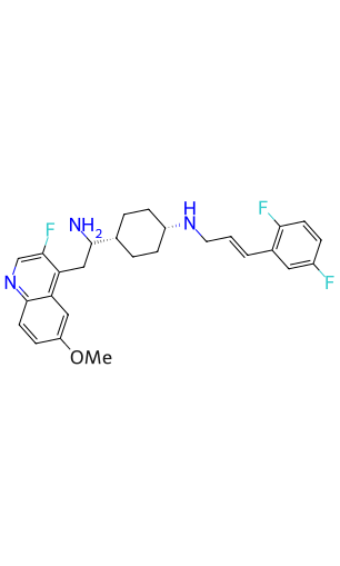 COc1ccc2ncc(F)c(CC(N)[C@H]3CC[C@@H](NCC=Cc4cc(F)ccc4F)CC3)c2c1